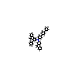 CC1(C)c2ccccc2-c2ccc(N(c3ccc(-c4ccc(-c5ccccc5)cc4)cc3)c3cc(-c4ccccc4)c4c(c3)-c3ccccc3C4(C)C)cc21